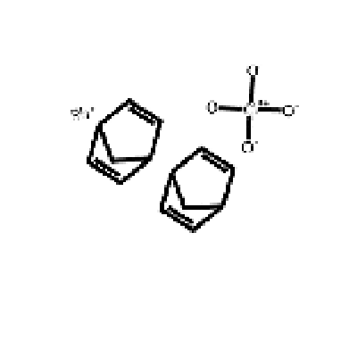 C1=CC2C=CC1C2.C1=CC2C=CC1C2.[O-][Cl+3]([O-])([O-])[O-].[Rh+]